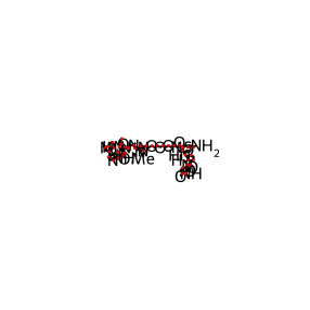 C=CC(=O)Nc1cc(Nc2nccc(-c3cn(C)c4ccccc34)n2)c(OC)cc1N(C)CCN(C)Cc1cn(CCOCCOCCOCCNC(=O)C(CSCCN)CC(=O)Nc2cccc3c2CN(C2CCC(=O)NC2=O)C3=O)nn1